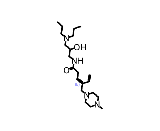 C=C/C(=C\CC(=O)NCC(O)CN(CCC)CCC)CN1CCN(C)CC1